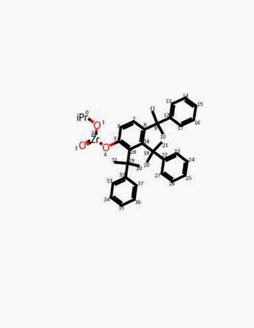 CC(C)[O][Zr](=[O])[O]c1ccc(C(C)(C)c2ccccc2)c(C(C)(C)c2ccccc2)c1C(C)(C)c1ccccc1